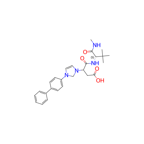 CNC(=O)[C@@H](NC(=O)C(CC(=O)O)N1C=CN(c2ccc(-c3ccccc3)cc2)C1)C(C)(C)C